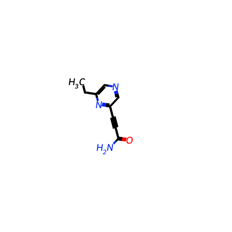 CCc1cncc(C#CC(N)=O)n1